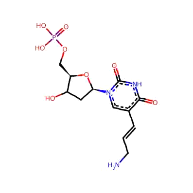 NC/C=C/c1cn([C@H]2CC(O)[C@@H](COP(=O)(O)O)O2)c(=O)[nH]c1=O